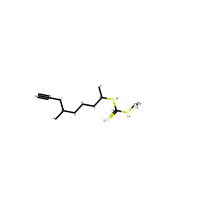 C#CCC(C)CCCC(C)SC(=S)SCCC